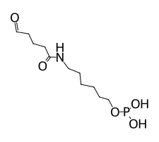 O=CCCCC(=O)NCCCCCCOP(O)O